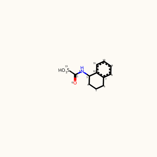 O=C(NC1CCCc2ccccc21)S(=O)(=O)O